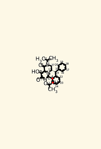 CC(=O)NCc1nc(=O)c(O)c2n1[C@@H](C(c1ccccc1)c1ccccc1)CN(C(C)C)C2=O